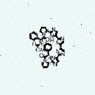 COC(=O)N[C@@H](C(=O)N1CCC[C@H]1c1ncc(-c2ncc(-c3cnc(-c4cnc([C@@H]5CCCN5C(=O)Cc5ccccc5)[nH]4)s3)s2)[nH]1)c1ccccc1